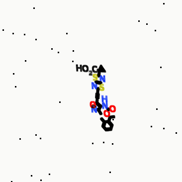 Cc1ccccc1C(C)OC(=O)Nc1c(C)noc1C#Cc1nc2sc(C3(C(=O)O)CC3)nc2s1